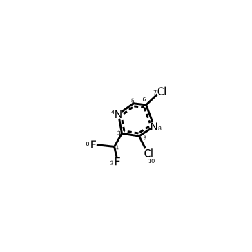 FC(F)c1ncc(Cl)nc1Cl